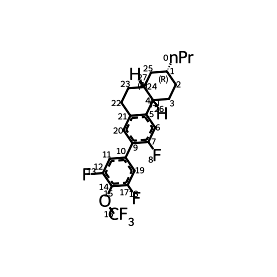 CCC[C@@H]1CC[C@@H]2c3cc(F)c(-c4cc(F)c(OC(F)(F)F)c(F)c4)cc3CC[C@@H]2C1